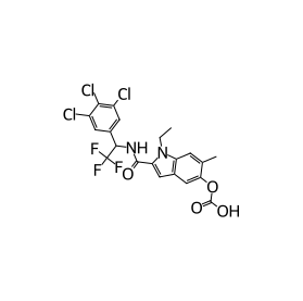 CCn1c(C(=O)NC(c2cc(Cl)c(Cl)c(Cl)c2)C(F)(F)F)cc2cc(OC(=O)O)c(C)cc21